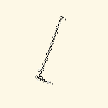 CCCOCCOCCOCCOCCOOCCOCCOCCOCCOCCOC(=O)CCC(CSCCN)C(C)=O